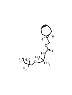 CC(C)(CN)COCC(C)(C)CNC(=O)OC[C@@H]1[C@@H]2CCC#CCC[C@@H]21